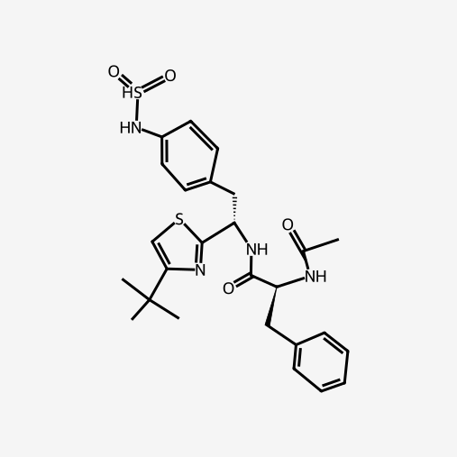 CC(=O)N[C@@H](Cc1ccccc1)C(=O)N[C@@H](Cc1ccc(N[SH](=O)=O)cc1)c1nc(C(C)(C)C)cs1